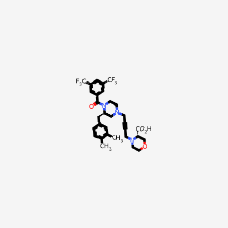 Cc1ccc(C[C@@H]2CN(CC#CCN3CCOC[C@H]3C(=O)O)CCN2C(=O)c2cc(C(F)(F)F)cc(C(F)(F)F)c2)cc1C